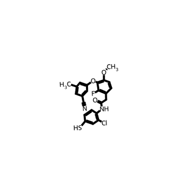 COc1ccc(CC(=O)Nc2ccc(S)cc2Cl)c(F)c1Oc1cc(C)cc(C#N)c1